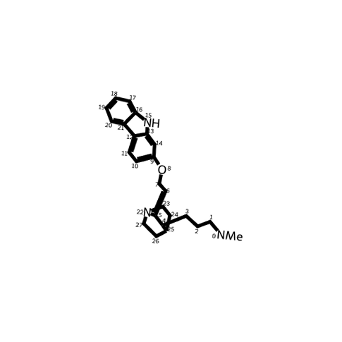 CNCCCC1C(=CCOc2ccc3c(c2)[nH]c2ccccc23)N2CCC1CC2